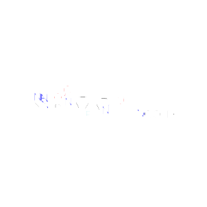 O=C(CC1CCN(C(=O)O)CC1)c1ccc(-c2ccc(N3C[C@H](Cn4ccnn4)OC3=O)cc2F)cn1